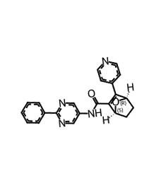 O=C(Nc1cnc(-c2ccccc2)nc1)C1=C(c2ccncc2)[C@H]2CC[C@@H]1O2